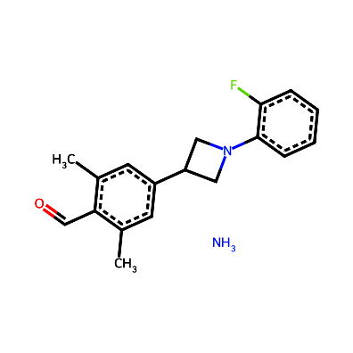 Cc1cc(C2CN(c3ccccc3F)C2)cc(C)c1C=O.N